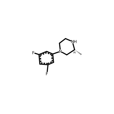 C[C@@H]1CN(c2cc(F)cc(F)c2)CCN1